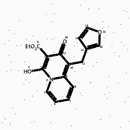 CCOC(=O)c1c(O)n2ccccc2c(Cc2ccoc2)c1=O